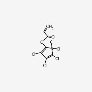 C=CC(=O)OC1=C(Cl)C(Cl)=C(Cl)S1(Cl)Cl